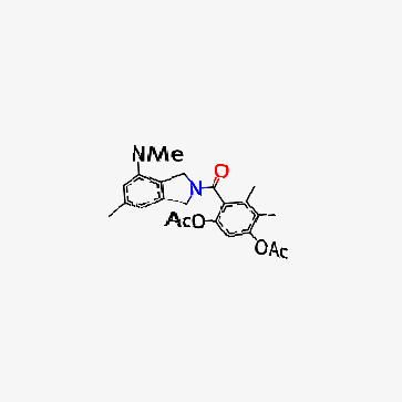 CNc1cc(C)cc2c1CN(C(=O)c1c(OC(C)=O)cc(OC(C)=O)c(C)c1C)C2